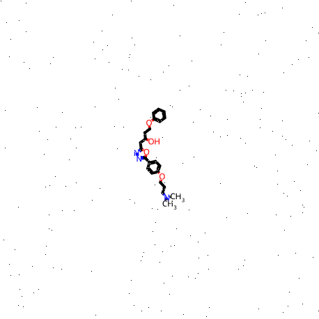 CN(C)CCCOc1ccc(-c2nnc(CC(O)CCOc3ccccc3)o2)cc1